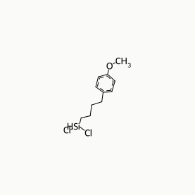 COc1ccc(CCCC[SiH](Cl)Cl)cc1